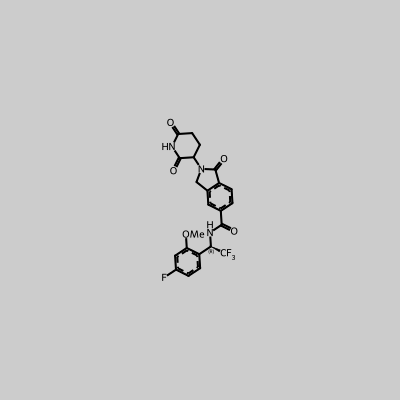 COc1cc(F)ccc1[C@@H](NC(=O)c1ccc2c(c1)CN(C1CCC(=O)NC1=O)C2=O)C(F)(F)F